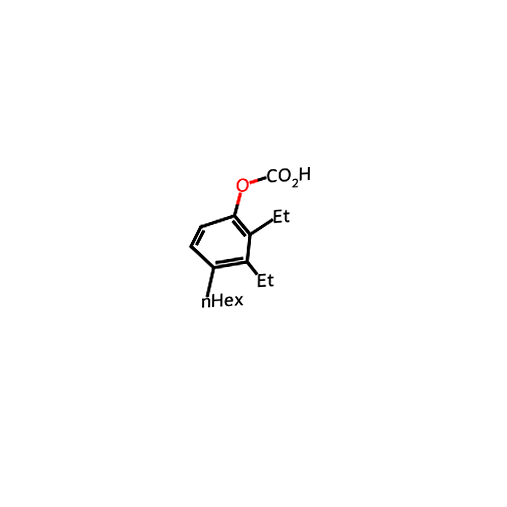 CCCCCCc1ccc(OC(=O)O)c(CC)c1CC